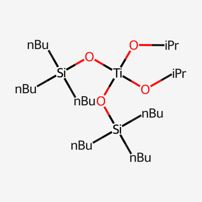 CCCC[Si](CCCC)(CCCC)[O][Ti]([O]C(C)C)([O]C(C)C)[O][Si](CCCC)(CCCC)CCCC